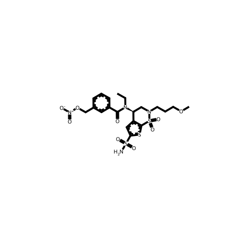 CCN(C(=O)c1cccc(CO[N+](=O)[O-])c1)[C@H]1CN(CCCOC)S(=O)(=O)c2sc(S(N)(=O)=O)cc21